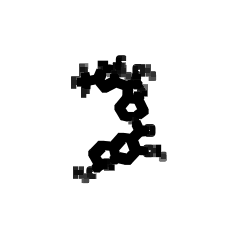 Cc1ccc2cc(C(=O)N3CCc4c(nn(C)c4-c4cc(C(F)(F)F)nn4C)C3)c(C)cc2n1